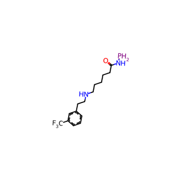 O=C(CCCCCNCCc1cccc(C(F)(F)F)c1)NP